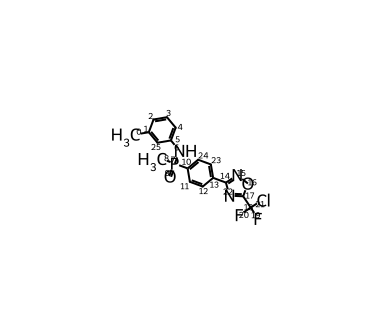 Cc1cccc(NP(C)(=O)c2ccc(-c3noc(C(F)(F)Cl)n3)cc2)c1